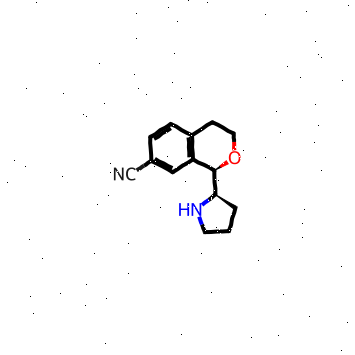 N#Cc1ccc2c(c1)[C@H]([C@H]1CCCN1)OCC2